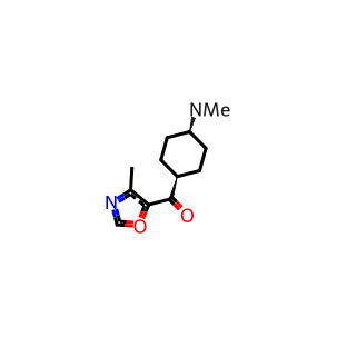 CN[C@H]1CC[C@@H](C(=O)c2ocnc2C)CC1